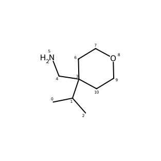 CC(C)C1(CN)CCOCC1